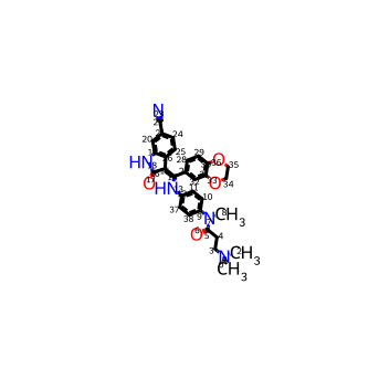 CN(C)CCC(=O)N(C)c1ccc(N/C(=C2\C(=O)Nc3cc(C#N)ccc32)c2ccc3c(c2)OCCO3)cc1